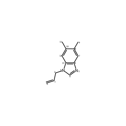 C=CCn1cnc2cc(C)c(C)cc21